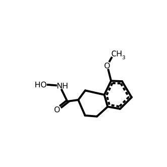 COc1cccc2c1CC(C(=O)NO)CC2